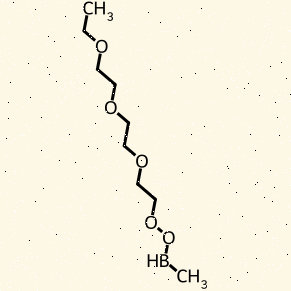 CBOOCCOCCOCCOCC